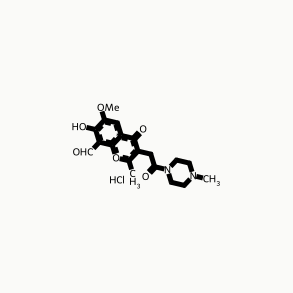 COc1cc2c(=O)c(CC(=O)N3CCN(C)CC3)c(C)oc2c(C=O)c1O.Cl